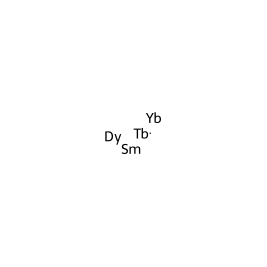 [Dy].[Sm].[Tb].[Yb]